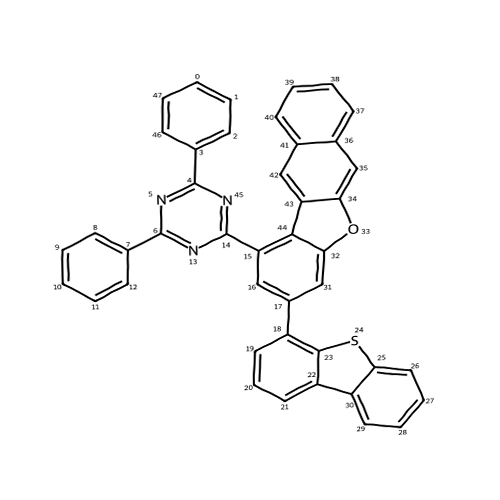 c1ccc(-c2nc(-c3ccccc3)nc(-c3cc(-c4cccc5c4sc4ccccc45)cc4oc5cc6ccccc6cc5c34)n2)cc1